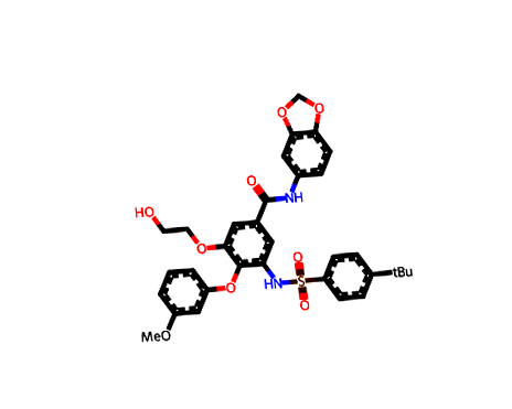 COc1cccc(Oc2c(NS(=O)(=O)c3ccc(C(C)(C)C)cc3)cc(C(=O)Nc3ccc4c(c3)OCO4)cc2OCCO)c1